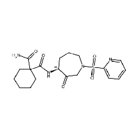 NC(=O)C1(C(=O)N[C@H]2CCCN(S(=O)(=O)c3ccccn3)CC2=O)CCCCC1